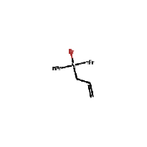 C=CC[Si](Br)(CCC)CCC